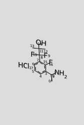 C[C@H](N)c1cccc(C(F)(F)C(C)(C)O)c1F.Cl